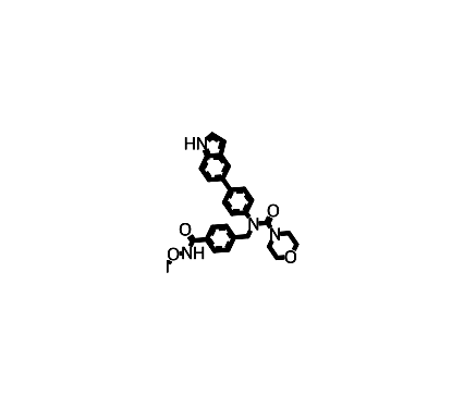 O=C(NOI)c1ccc(CN(C(=O)N2CCOCC2)c2ccc(-c3ccc4[nH]ccc4c3)cc2)cc1